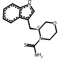 NC(=S)N1CCOC[C@@H]1Cc1c[nH]c2ccccc12